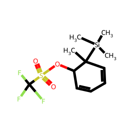 CC1([Si](C)(C)C)C=CC=CC1OS(=O)(=O)C(F)(F)F